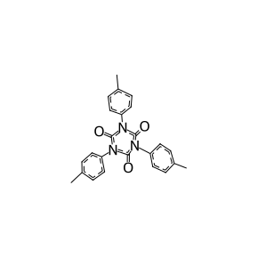 Cc1ccc(-n2c(=O)n(-c3ccc(C)cc3)c(=O)n(-c3ccc(C)cc3)c2=O)cc1